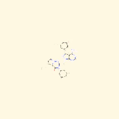 Nc1ncnc2c1c(-c1cc(O)cc(F)c1)nn2Cc1nn2ccc(C(F)(F)F)c2c(=O)n1-c1ccccc1